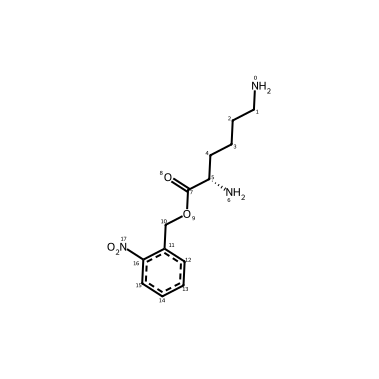 NCCCC[C@H](N)C(=O)OCc1ccccc1[N+](=O)[O-]